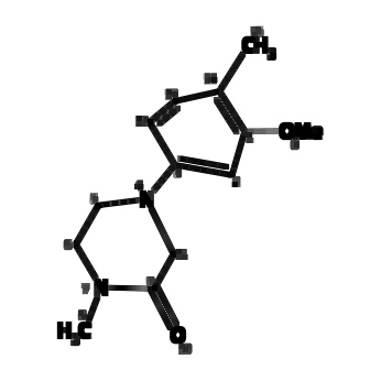 COc1cc(N2CCN(C)C(=O)C2)ccc1C